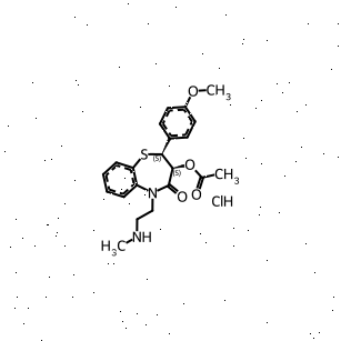 CNCCN1C(=O)[C@H](OC(C)=O)[C@H](c2ccc(OC)cc2)Sc2ccccc21.Cl